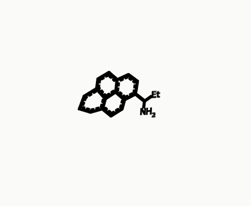 [CH2]CC(N)c1ccc2ccc3cccc4ccc1c2c34